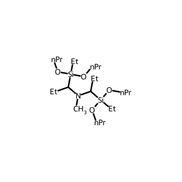 CCCO[Si](CC)(OCCC)C(CC)N(C)C(CC)[Si](CC)(OCCC)OCCC